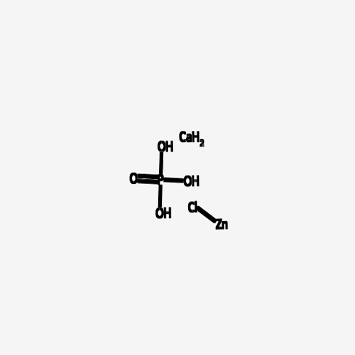 O=P(O)(O)O.[CaH2].[Cl][Zn]